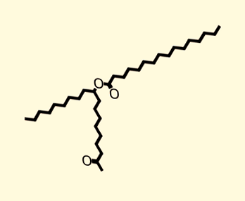 CCCCCCCCCCCCCCCC(=O)OC(CCCCCCCCC)CCCCCCCC(C)=O